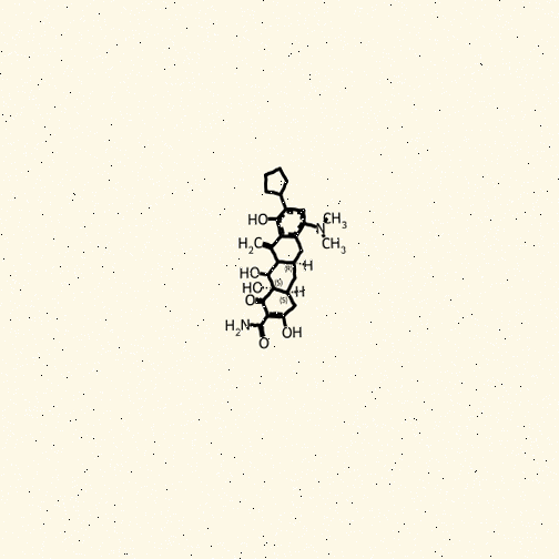 C=C1c2c(O)c(C3CCCC3)cc(N(C)C)c2C[C@H]2C[C@H]3CC(O)=C(C(N)=O)C(=O)[C@@]3(O)C(O)C12